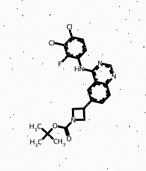 CC(C)(C)OC(=O)N1CC(c2ccc3ncnc(Nc4ccc(Cl)c(Cl)c4F)c3c2)C1